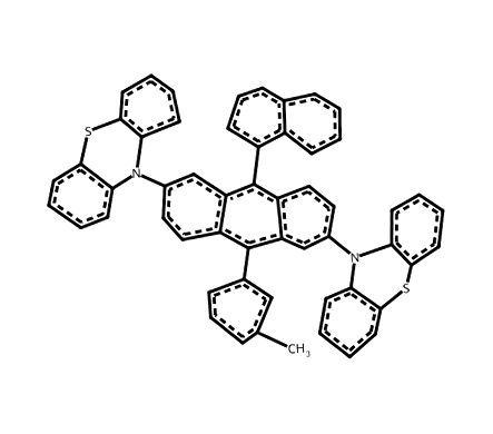 Cc1cccc(-c2c3cc(N4c5ccccc5Sc5ccccc54)ccc3c(-c3cccc4ccccc34)c3cc(N4c5ccccc5Sc5ccccc54)ccc23)c1